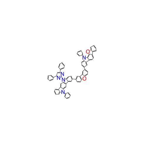 c1ccc(-c2cc(-c3ccccc3)nc(-n3c4ccc(-c5ccc6oc7ccc(-c8ccc9c(c8)c8ccc%10c%11ccccc%11oc%10c8n9-c8ccccc8)cc7c6c5)cc4c4cc5c(cc43)c3ccccc3n5-c3ccccc3)n2)cc1